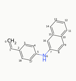 C=Cc1ccc(Nc2ccc3ccccc3c2)cc1